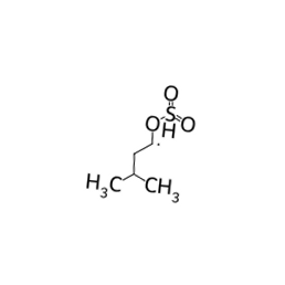 CC(C)C[CH]O[SH](=O)=O